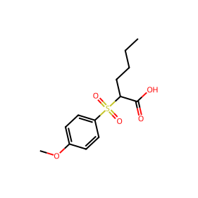 CCCCC(C(=O)O)S(=O)(=O)c1ccc(OC)cc1